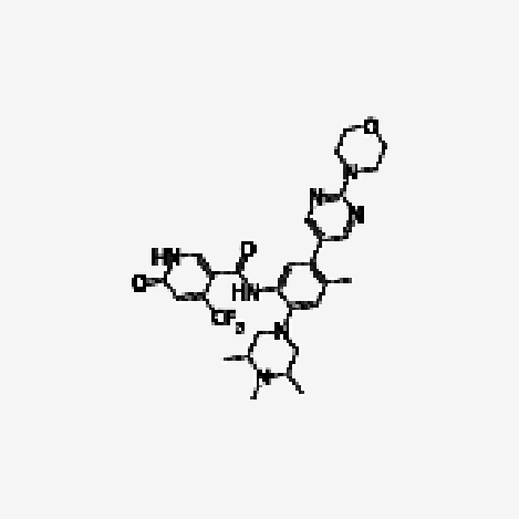 Cc1cc(N2CC(C)N(C)C(C)C2)c(NC(=O)c2c[nH]c(=O)cc2C(F)(F)F)cc1-c1cnc(N2CCOCC2)nc1